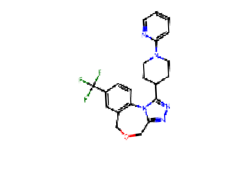 FC(F)(F)c1ccc2c(c1)COCc1nnc(C3CCN(c4ccccn4)CC3)n1-2